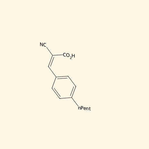 CCCCCc1ccc(C=C(C#N)C(=O)O)cc1